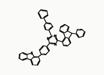 c1ccc(-c2ccc(-c3nc(-c4ccc(-c5cccc6c5sc5ccccc56)cc4)nc(-c4cccc5c4-c4ccccc4C5c4ccccc4)n3)cc2)cc1